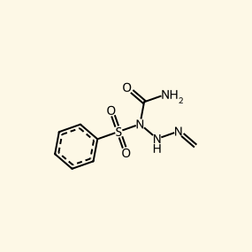 C=NNN(C(N)=O)S(=O)(=O)c1ccccc1